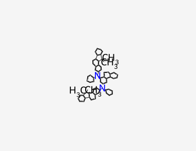 CC1(C)c2ccccc2-c2ccc3cc(N(c4ccccc4)c4cc(N(c5ccccc5)c5ccc6c7c(ccc6c5)-c5ccccc5C7(C)C)c5ccc6ccccc6c5c4)ccc3c21